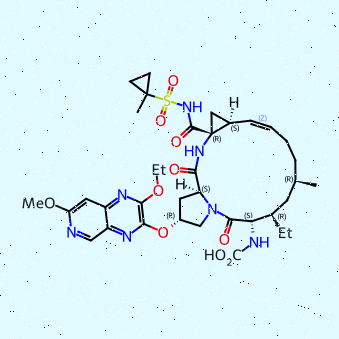 CCOc1nc2cc(OC)ncc2nc1O[C@@H]1C[C@H]2C(=O)N[C@]3(C(=O)NS(=O)(=O)C4(C)CC4)C[C@H]3/C=C\CC[C@@H](C)C[C@@H](CC)[C@H](NC(=O)O)C(=O)N2C1